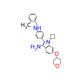 Cc1ccccc1CNc1ccc(-c2c(N)c3ccc(OC4CCOCC4)cc3n2C2CCC2)cc1